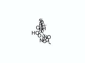 C=CCOC(=O)N1CC(C2=C(C(=O)O)N3C(=O)[C@@H]([C@@H](CO[SiH](C)C)C(C)(C)C)[C@H]3C2)C[C@H]1C(=O)N(C)C